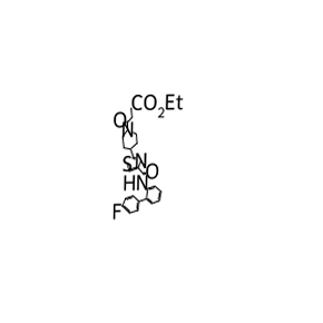 CCOC(=O)CCC(=O)N1CCC(c2nc(C(=O)Nc3ccccc3-c3ccc(F)cc3)cs2)CC1